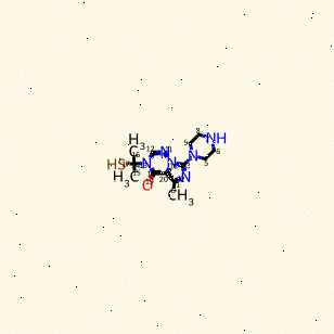 Cc1nc(N2CCNCC2)n2ncn(C(C)(C)S)c(=O)c12